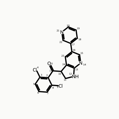 O=C(c1c(Cl)cccc1Cl)C1CNc2ncc(-c3cccnc3)cc21